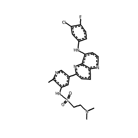 Cc1ncc(-c2ccc3nccc(Nc4ccc(F)c(Cl)c4)c3n2)cc1NS(=O)(=O)CCN(C)C